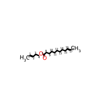 CC=CCCOC(=O)CCCCCCCC/C=C/C